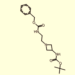 CC(C)(C)OC(=O)NC1CN(CCNC(=O)OCc2ccccc2)C1